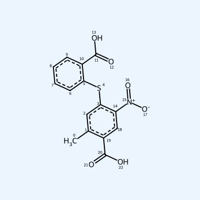 Cc1cc(Sc2ccccc2C(=O)O)c([N+](=O)[O-])cc1C(=O)O